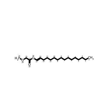 CCCCCCCCCCCCCCC=COC(=O)COP